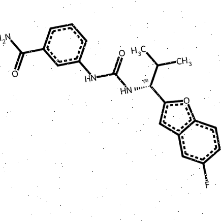 CC(C)[C@@H](NC(=O)Nc1cccc(C(N)=O)c1)c1cc2cc(F)ccc2o1